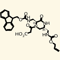 C=CCOC(=O)NC[C@@H]1CN(C(=O)CC(=O)O)[C@@H](CNC(=O)OCC2c3ccccc3-c3ccccc32)C(=O)N1